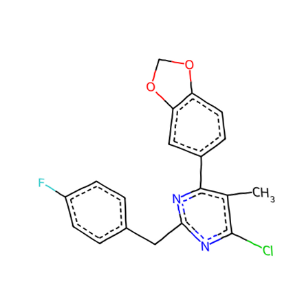 Cc1c(Cl)nc(Cc2ccc(F)cc2)nc1-c1ccc2c(c1)OCO2